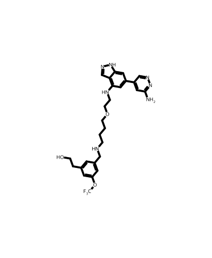 Nc1cc(-c2cc(NCCOCCCCNCc3cc(CCO)cc(OC(F)(F)F)c3)c3cn[nH]c3c2)cnn1